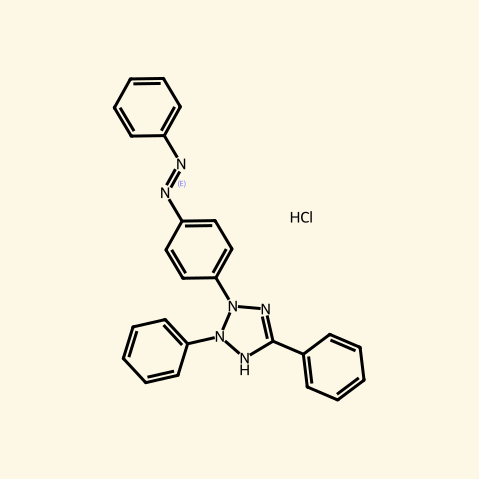 Cl.c1ccc(/N=N/c2ccc(N3N=C(c4ccccc4)NN3c3ccccc3)cc2)cc1